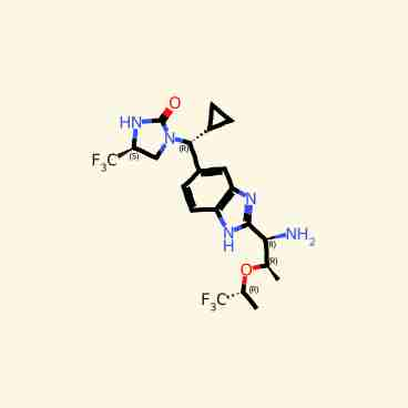 C[C@@H](O[C@H](C)C(F)(F)F)[C@H](N)c1nc2cc([C@@H](C3CC3)N3C[C@@H](C(F)(F)F)NC3=O)ccc2[nH]1